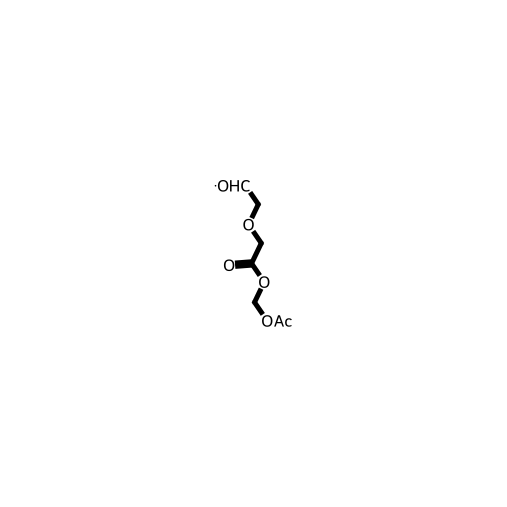 CC(=O)OCOC(=O)COC[C]=O